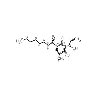 C=CC(C)n1c(=O)c(C)cn(C(=O)NCCCCCC)c1=O